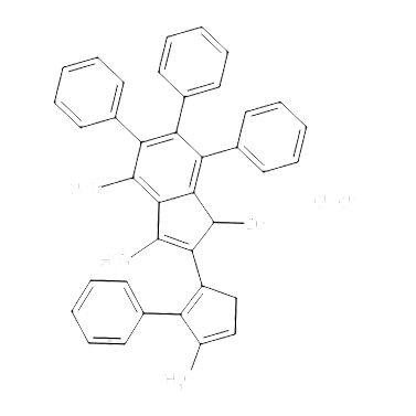 CC1=CCC(C2=C([SiH3])c3c([SiH3])c(-c4ccccc4)c(-c4ccccc4)c(-c4ccccc4)c3[CH]2[Zr+2])=C1c1ccccc1.[Cl-].[Cl-]